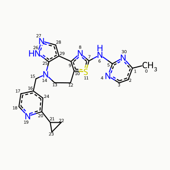 Cc1ccnc(Nc2nc3c(s2)CCN(Cc2ccnc(C4CC4)c2)c2[nH]ncc2-3)n1